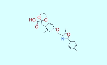 Cc1ccc(-c2nc(COc3ccc(CC4(C(=O)O)OCCCO4)c(C)c3)c(C)o2)cc1